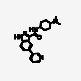 CN(C)[C@H]1CC[C@H](NC(=O)c2n[nH]c3ccc(-c4cccnc4)cc23)CC1